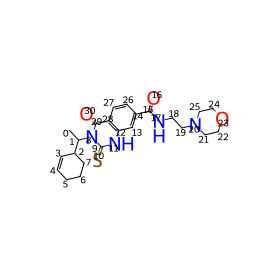 CC(C1C=CCCC1)n1c(=S)[nH]c2cc(C(=O)NCCN3CCOCC3)ccc2c1=O